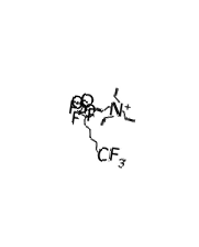 C=CC[N+](CC=C)(CC=C)CC=C.O=S(=O)([O-])C(F)(F)C(F)CCCCCC(F)(F)F